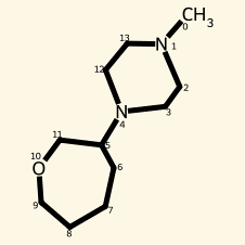 CN1CCN(C2CCCCOC2)CC1